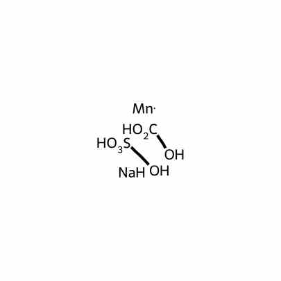 O=C(O)O.O=S(=O)(O)O.[Mn].[NaH]